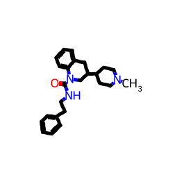 CN1CCC(C2Cc3ccccc3N(C(=O)NCCc3ccccc3)C2)CC1